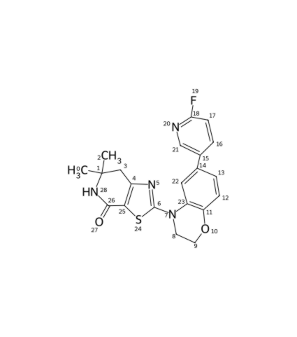 CC1(C)Cc2nc(N3CCOc4ccc(-c5ccc(F)nc5)cc43)sc2C(=O)N1